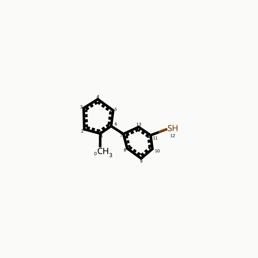 Cc1ccccc1-c1cccc(S)c1